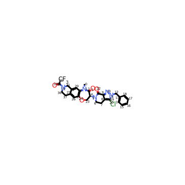 CN1C(=O)[C@@H](N2CCc3c(nn(Cc4ccccc4)c3Cl)C2=O)COc2cc3c(cc21)CN(C(=O)C(F)(F)F)CC3